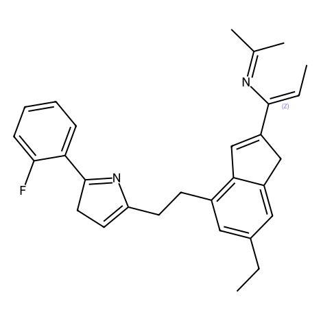 C/C=C(\N=C(C)C)C1=Cc2c(CCC3=CCC(c4ccccc4F)=N3)cc(CC)cc2C1